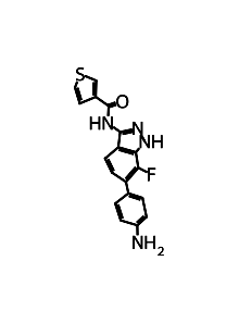 Nc1ccc(-c2ccc3c(NC(=O)c4ccsc4)n[nH]c3c2F)cc1